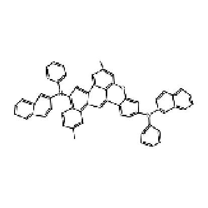 Cc1ccc2c(N(c3ccccc3)c3ccc4ccccc4c3)cc3c4cc(C)cc5c4c(cc3c2c1)-c1ccc(N(c2ccccc2)c2ccc3ccccc3c2)cc1O5